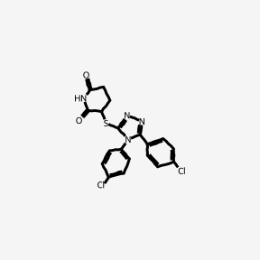 O=C1CCC(Sc2nnc(-c3ccc(Cl)cc3)n2-c2ccc(Cl)cc2)C(=O)N1